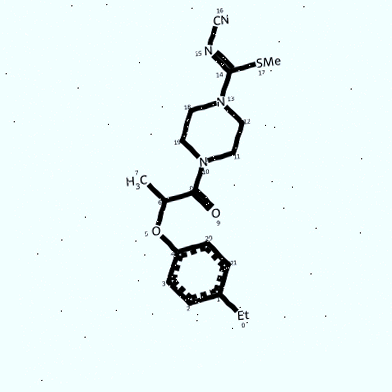 CCc1ccc(OC(C)C(=O)N2CCN(C(=NC#N)SC)CC2)cc1